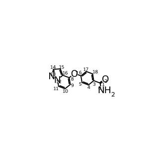 NC(=O)c1ccc(Oc2cccn3nccc23)cc1